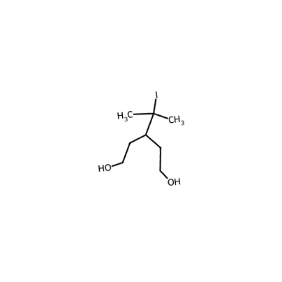 CC(C)(I)C(CCO)CCO